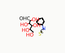 O=CC(O)C(O)C(O)C(O)CO.S=C=Nc1ccccc1